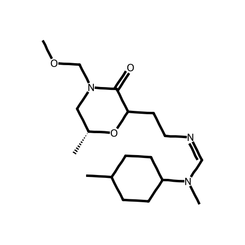 COCN1C[C@@H](C)OC(CC/N=C\N(C)C2CCC(C)CC2)C1=O